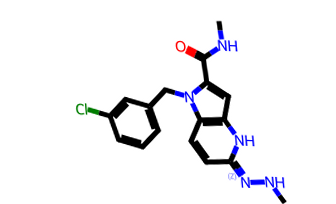 CN/N=c1/ccc2c(cc(C(=O)NC)n2Cc2cccc(Cl)c2)[nH]1